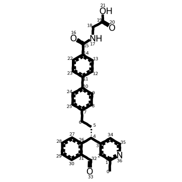 Cc1cc([C@@H](CCc2ccc(-c3ccc(C(=O)NCC(=O)O)cc3)cc2)c2ccccc2C=O)ccn1